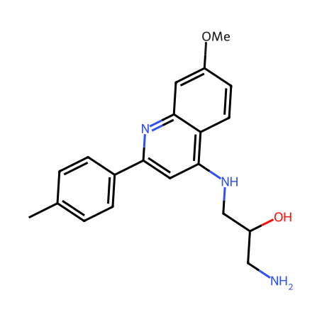 COc1ccc2c(NCC(O)CN)cc(-c3ccc(C)cc3)nc2c1